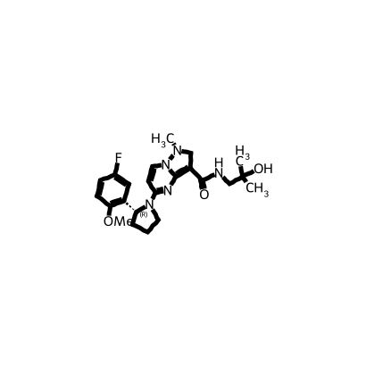 COc1ccc(F)cc1[C@H]1CCCN1C1=NC2=C(C(=O)NCC(C)(C)O)CN(C)N2C=C1